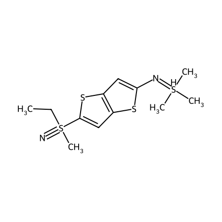 CCS(C)(#N)c1cc2sc(N=[SH](C)(C)C)cc2s1